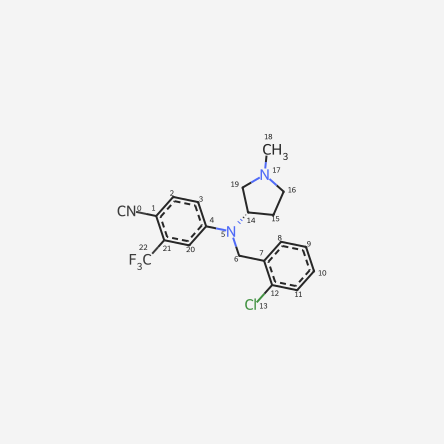 [C-]#[N+]c1ccc(N(Cc2ccccc2Cl)[C@H]2CCN(C)C2)cc1C(F)(F)F